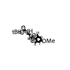 COc1cc(C)c(S(=O)(=O)N(C)CCNC(=O)OC(C)(C)C)c(C)c1